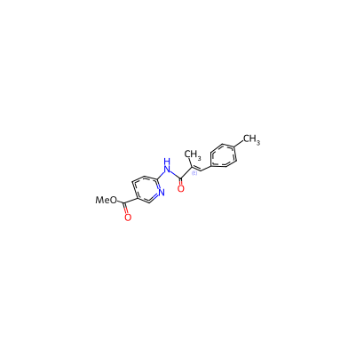 COC(=O)c1ccc(NC(=O)/C(C)=C/c2ccc(C)cc2)nc1